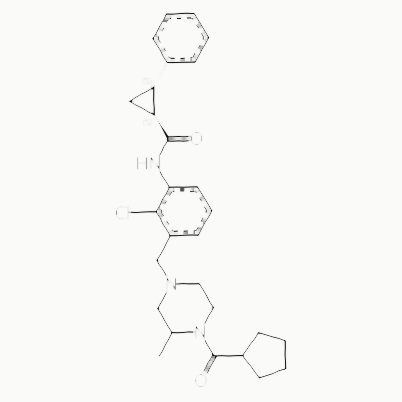 CC1CN(Cc2cccc(NC(=O)[C@H]3C[C@@H]3c3ccccc3)c2Cl)CCN1C(=O)C1CCCC1